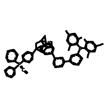 C=C=P(c1ccccc1)(c1ccccc1)c1ccc(C23CC4C[C@]5(CC5(c5ccc(-c6cccc(-c7cccc(B(c8c(C)cc(C)cc8C)c8c(C)cc(C)cc8C)c7)c6)cc5)C2)C4C3)cc1